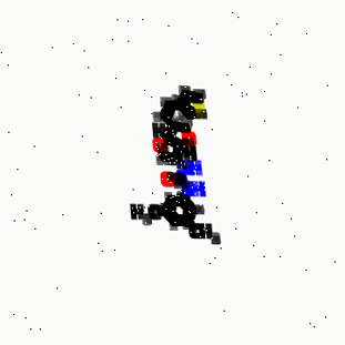 Cc1cc(C)cc(NC(=O)N[C@H]2CO[C@H]3[C@@H]2OC[C@@H]3/C=C\c2ccsc2)c1